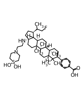 CC(CF)[C@@H]1CC[C@]2(NCCN3CCS(O)(O)CC3)CC[C@]3(C)[C@H](CC[C@@H]4[C@@]5(C)CC=C(c6ccc(C(=O)O)cc6)C(C)(C)[C@@H]5CC[C@]43C)[C@@H]12